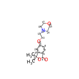 CC1(C)OC(=O)c2ccc(OCCN3CCOCC3)cc21